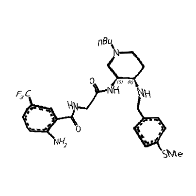 CCCCN1CC[C@@H](NCc2ccc(SC)cc2)[C@@H](NC(=O)CNC(=O)c2cc(C(F)(F)F)ccc2N)C1